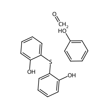 C=O.Oc1ccccc1.Oc1ccccc1Sc1ccccc1O